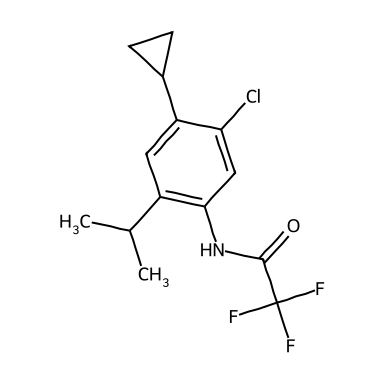 CC(C)c1cc(C2CC2)c(Cl)cc1NC(=O)C(F)(F)F